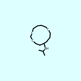 CC(C)BC1CCCCCCCCCCCCC1